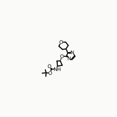 CC(C)(C)OC(=O)N[C@H]1C[C@@H](Oc2nccnc2C2CCOCC2)C1